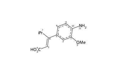 COc1cc(C(=CC(=O)O)C(C)C)ccc1N